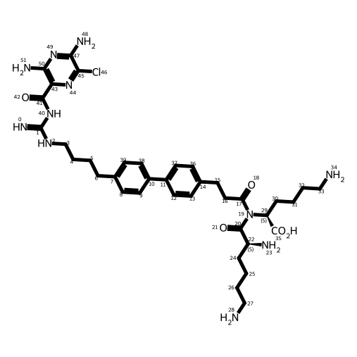 N=C(NCCCCc1ccc(-c2ccc(CCC(=O)N(C(=O)[C@@H](N)CCCCN)[C@@H](CCCCN)C(=O)O)cc2)cc1)NC(=O)c1nc(Cl)c(N)nc1N